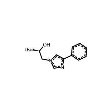 CC(C)(C)[C@@H](O)Cn1cnc(-c2ccccc2)c1